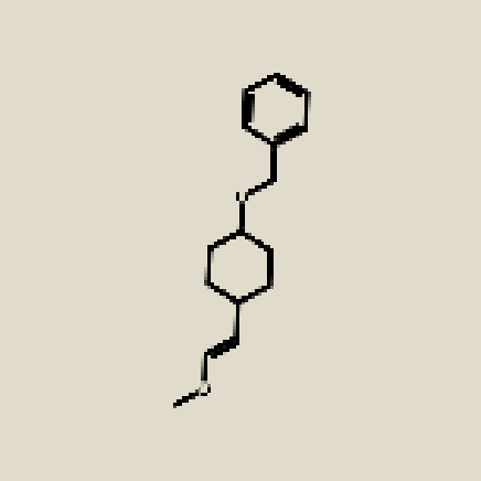 CO/C=C/C1CCC(OCc2ccccc2)CC1